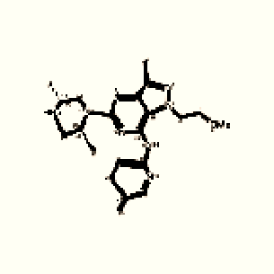 COCCn1nc(C)c2nc(N3C[C@@H](C)NC[C@@H]3C)nc(NC3=CCC(C)C=N3)c21